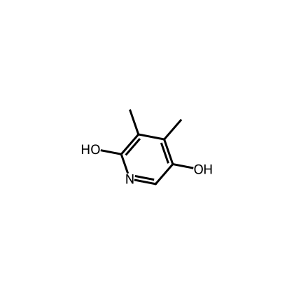 Cc1c(O)cnc(O)c1C